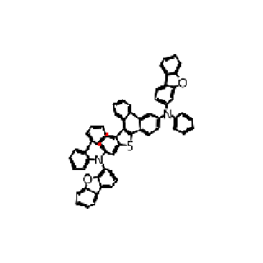 c1ccc(-c2ccccc2N(c2ccc3c(c2)sc2c4ccc(N(c5ccccc5)c5ccc6c(c5)oc5ccccc56)cc4c4ccccc4c32)c2cccc3c2oc2ccccc23)cc1